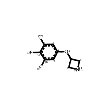 Fc1cc(OC2CNC2)cc(F)c1F